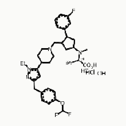 CCn1nc(Cc2ccc(OC(F)F)cc2)cc1C1CCN(CC2CC(N(C)[C@@H](C(=O)O)C(C)C)CC2c2cccc(F)c2)CC1.Cl.Cl.Cl